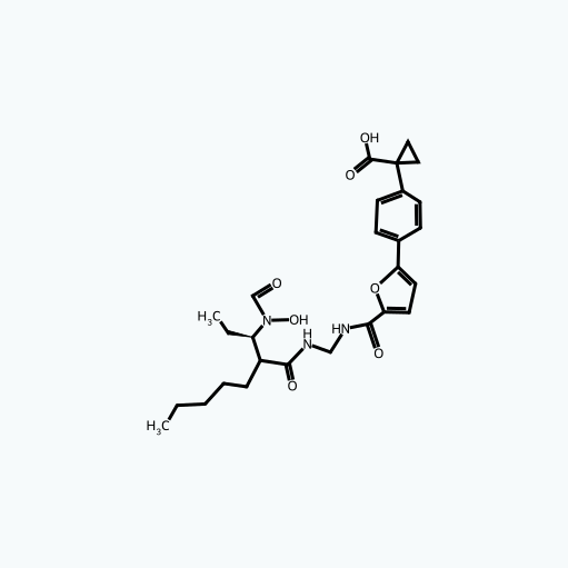 CCCCCC(C(=O)NCNC(=O)c1ccc(-c2ccc(C3(C(=O)O)CC3)cc2)o1)[C@@H](CC)N(O)C=O